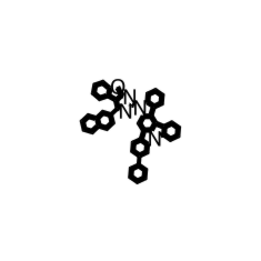 c1ccc(-c2ccc3c4cc5c(c6ccccc6n5-c5nc(-c6ccc7ccccc7c6)c6c(n5)oc5ccccc56)c5c6ccccc6n(c3c2)c45)cc1